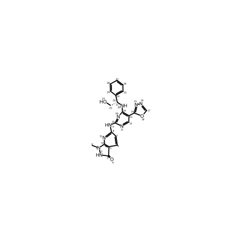 Cn1[nH]c(=O)c2ccc(Nc3ncc(-c4nnco4)c(N[C@H](CO)c4ccccc4)n3)nc21